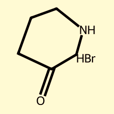 Br.O=C1CCCNC1